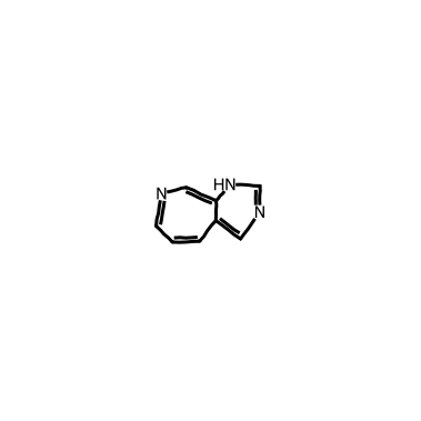 C1=CC2=CN=CNC2=CN=C1